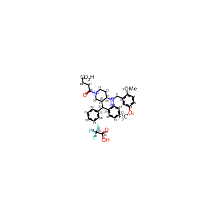 COc1ccc(OC(F)(F)F)cc1CN[C@@H]1CCN(C(=O)CCC(=O)O)C[C@@H]1C(c1ccccc1)c1ccccc1.O=C(O)C(F)(F)F